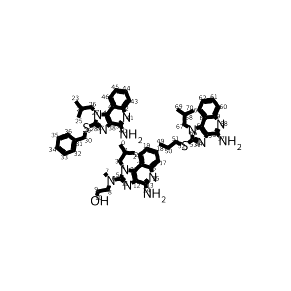 CC(C)Cn1c(N(C)CCO)nc2c(N)nc3ccccc3c21.CC(C)Cn1c(SCc2ccccc2)nc2c(N)nc3ccccc3c21.CCCSc1nc2c(N)nc3ccccc3c2n1CC(C)C